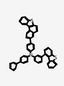 c1ccc(-c2ccc(N(c3ccc(-c4ccc5c(ccc6sc7ccccc7c65)c4)cc3)c3cccc(-c4cccc5sc6ccccc6c45)c3)cc2)cc1